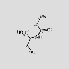 CC(=O)CC(NC(=O)OC(C)(C)C)C(=O)O